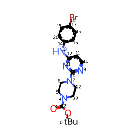 CC(C)(C)OC(=O)N1CCN(c2nccc(Nc3ccc(Br)cc3)n2)CC1